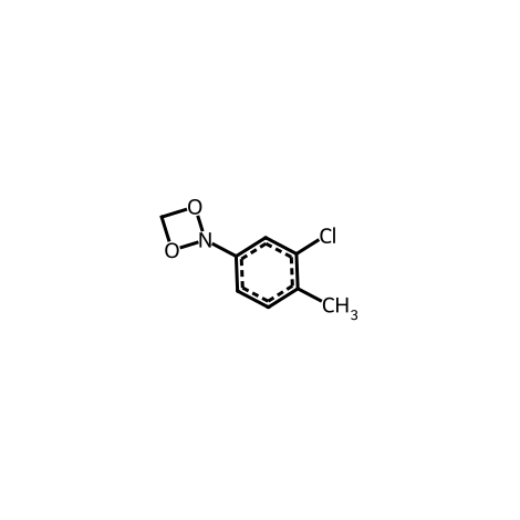 Cc1ccc(N2OCO2)cc1Cl